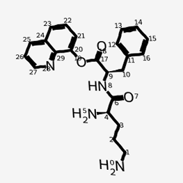 NCCC[C@@H](N)C(=O)N[C@H](Cc1ccccc1)C(=O)Oc1cccc2cccnc12